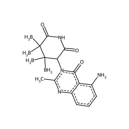 BC1(B)C(=O)NC(=O)C(n2c(C)nc3cccc(N)c3c2=O)C1(B)B